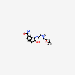 CN(CC=NC1c2cc(C(N)=O)ccc2CC1O)CCOC(C)(C)C